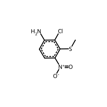 CSc1c([N+](=O)[O-])ccc(N)c1Cl